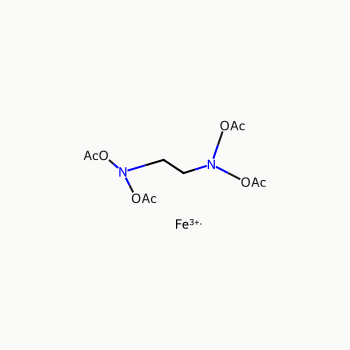 CC(=O)ON(CCN(OC(C)=O)OC(C)=O)OC(C)=O.[Fe+3]